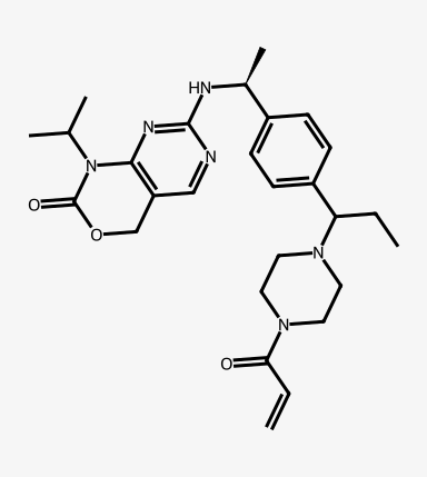 C=CC(=O)N1CCN(C(CC)c2ccc([C@H](C)Nc3ncc4c(n3)N(C(C)C)C(=O)OC4)cc2)CC1